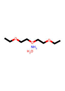 CCOCCOCCOCC.N.O